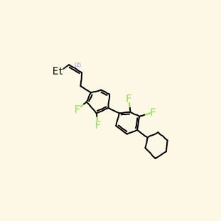 CC/C=C\Cc1ccc(-c2ccc(C3CCCCC3)c(F)c2F)c(F)c1F